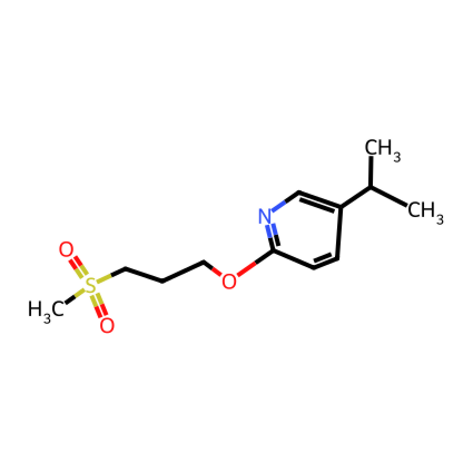 CC(C)c1ccc(OCCCS(C)(=O)=O)nc1